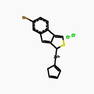 Brc1ccc2c(c1)C=C1C2=CS[CH]1[Zr+2][C]1=CC=CC1.[Cl-].[Cl-]